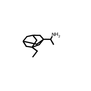 CCC12CC3CC(C1)CC(C(C)N)(C3)C2